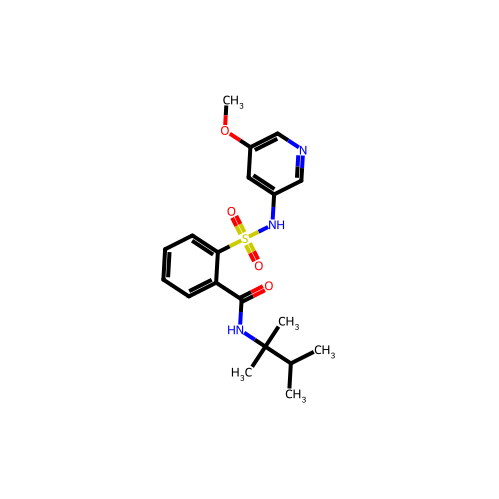 COc1cncc(NS(=O)(=O)c2ccccc2C(=O)NC(C)(C)C(C)C)c1